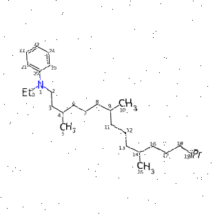 CCN(CCC(C)CCCC(C)CCCC(C)CCCC(C)C)c1ccccc1